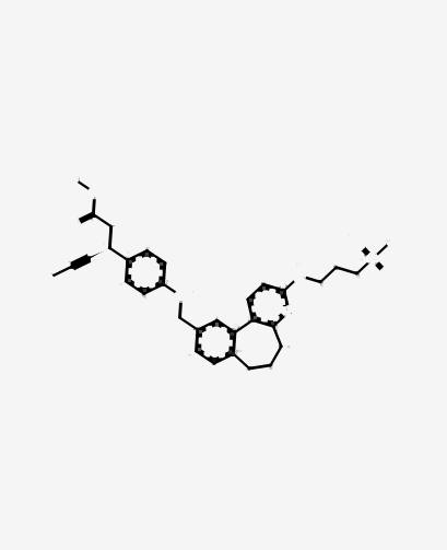 CC#C[C@@H](CC(=O)OC)c1ccc(OCc2ccc3c(c2)-c2ccc(OCCCS(C)(=O)=O)nc2CCC3)cc1